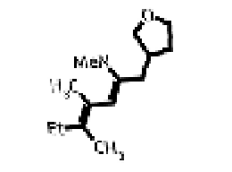 CC/C(C)=C(C)/C=C(/CC1CCOC1)NC